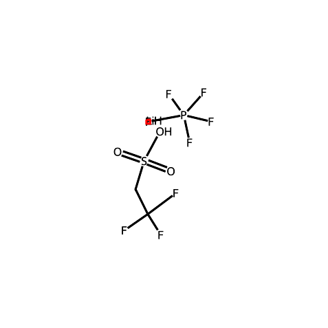 FP(F)(F)(F)F.O=S(=O)(O)CC(F)(F)F.[LiH]